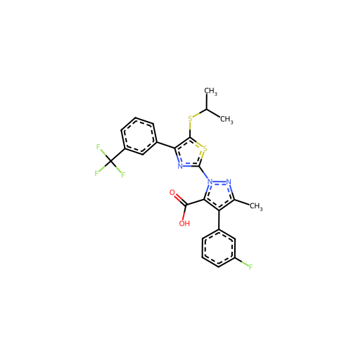 Cc1nn(-c2nc(-c3cccc(C(F)(F)F)c3)c(SC(C)C)s2)c(C(=O)O)c1-c1cccc(F)c1